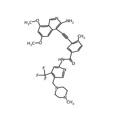 COc1cc(OC)c2cnc(N)c(C#Cc3cc(C(=O)Nc4cc(C(F)(F)F)c(CN5CCN(C)CC5)cn4)ccc3C)c2c1